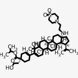 C=C(C)[C@@H]1CC[C@]2(NCCN3CCS(=O)(=O)CC3)CC[C@]3(C)[C@H](CC[C@@H]4[C@@]5(C)CC=C(C6=CC[C@](CCO)(C(=O)OC(C)C)CC6)C(C)(C)[C@@H]5CC[C@]43C)[C@@H]12